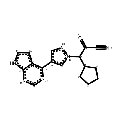 N#CC(=O)C(C1CCCC1)n1cc(-c2ncnc3[nH]ccc23)cn1